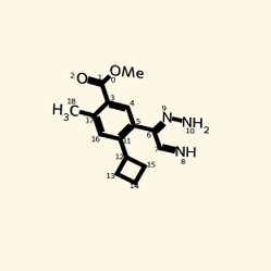 COC(=O)c1cc(/C(C=N)=N/N)c(C2CCC2)cc1C